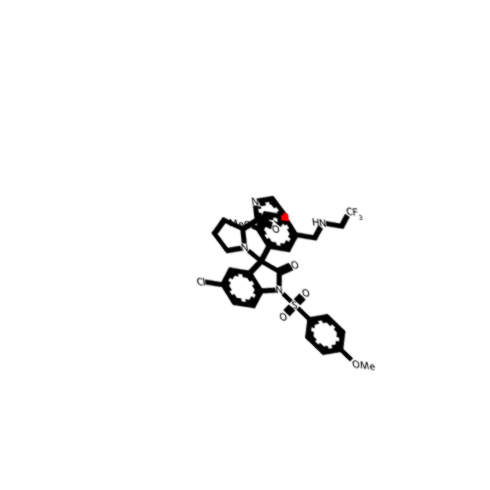 COc1ccc(S(=O)(=O)N2C(=O)C(c3cc(CNCC(F)(F)F)ccc3OC)(N3CCCC3c3ncco3)c3cc(Cl)ccc32)cc1